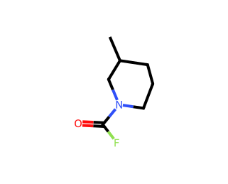 CC1CCCN(C(=O)F)C1